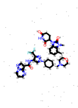 Cn1c(=O)n(C2CCC(=O)NC2=O)c2cccc(C[C@H]3CN(C[C@H]4CC[C@H](n5cc(NC(=O)c6cnn7cccnc67)c(C(F)F)n5)CC4)CCO3)c21